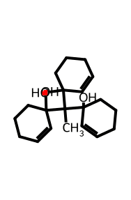 CC(C1(O)C=CCCC1)(C1(O)C=CCCC1)C1(O)C=CCCC1